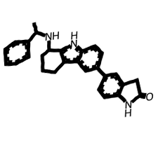 CC(NC1CCCc2c1[nH]c1ccc(-c3ccc4c(c3)CC(=O)N4)cc21)c1ccccc1